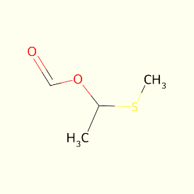 CSC(C)OC=O